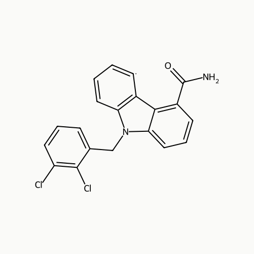 NC(=O)c1cccc2c1c1[c]cccc1n2Cc1cccc(Cl)c1Cl